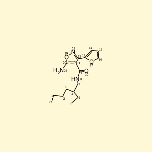 CCCCC(CC)CNC(=O)c1c(-c2ccco2)noc1N